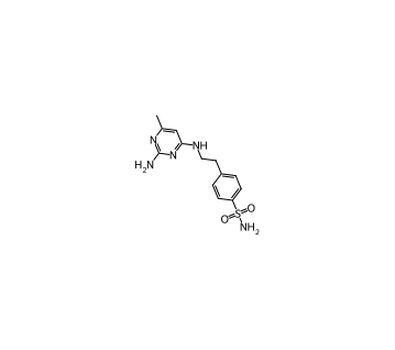 Cc1cc(NCCc2ccc(S(N)(=O)=O)cc2)nc(N)n1